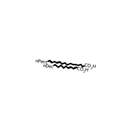 CCCCCC=CCC=CCCCCCCCCCC(=O)O.CCCCCCCCCCCCCCCC=CC=CC(=O)O